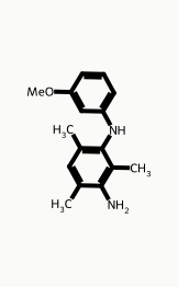 COc1cccc(Nc2c(C)cc(C)c(N)c2C)c1